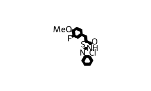 COc1ccc(/C=C2\S/C(=N/c3ccccc3Cl)NC2=O)cc1F